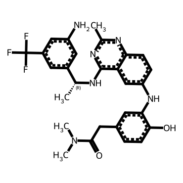 Cc1nc(N[C@H](C)c2cc(N)cc(C(F)(F)F)c2)c2cc(Nc3cc(CC(=O)N(C)C)ccc3O)ccc2n1